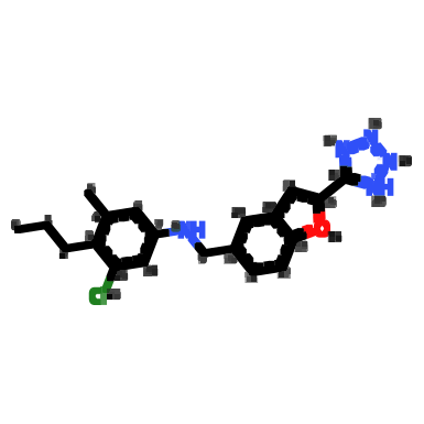 CCCc1c(C)cc(NCc2ccc3oc(-c4nnn[nH]4)cc3c2)cc1Cl